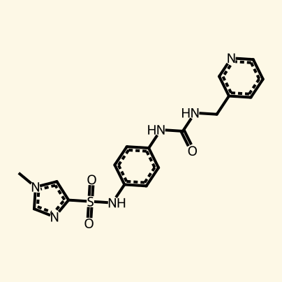 Cn1cnc(S(=O)(=O)Nc2ccc(NC(=O)NCc3cccnc3)cc2)c1